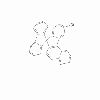 Brc1ccc2c(c1)-c1c(ccc3ccccc13)C21c2ccccc2-c2ccccc21